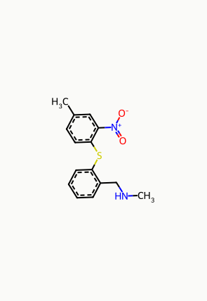 CNCc1ccccc1Sc1ccc(C)cc1[N+](=O)[O-]